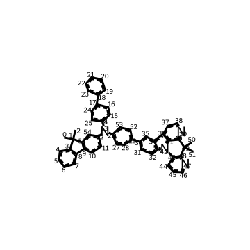 CC1(C)c2ccccc2-c2ccc(N(c3ccc(-c4ccccc4)cc3)c3ccc(-c4ccc5c(c4)c4ccnc6c4n5-c4cccnc4C6(C)C)cc3)cc21